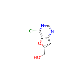 OCc1cc2ncnc(Cl)c2o1